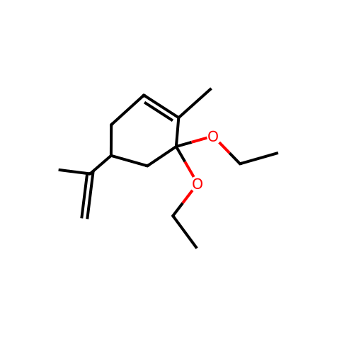 C=C(C)C1CC=C(C)C(OCC)(OCC)C1